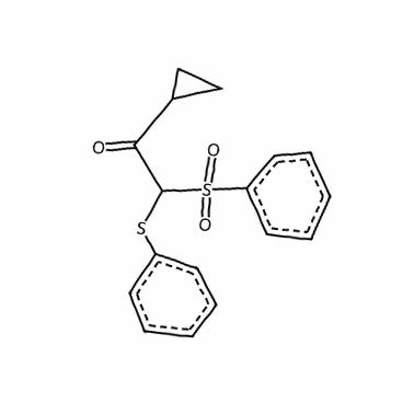 O=C(C1CC1)C(Sc1ccccc1)S(=O)(=O)c1ccccc1